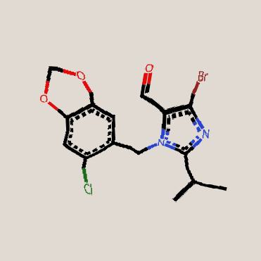 CC(C)c1nc(Br)c(C=O)n1Cc1cc2c(cc1Cl)OCO2